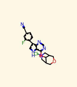 N#Cc1ccc(-c2c[nH]c3c(OC4C5COCC4CN(Cl)C5)ncnc23)c(F)c1